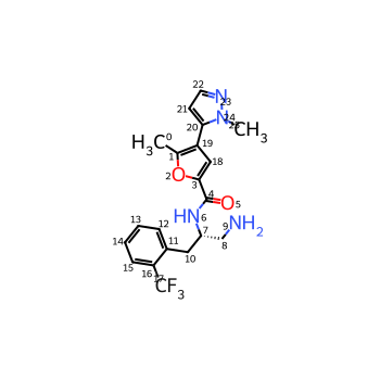 Cc1oc(C(=O)N[C@H](CN)Cc2ccccc2C(F)(F)F)cc1-c1ccnn1C